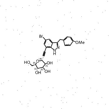 COc1ccc(Cc2n[nH]c3c(C#C[C@H]4O[C@H](CO)[C@@H](O)[C@H](O)[C@@H]4O)cc(Br)cc23)cc1